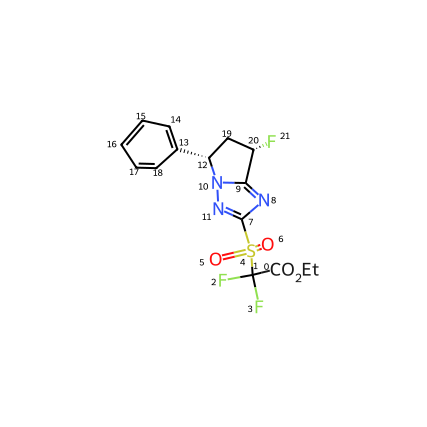 CCOC(=O)C(F)(F)S(=O)(=O)c1nc2n(n1)[C@H](c1ccccc1)C[C@@H]2F